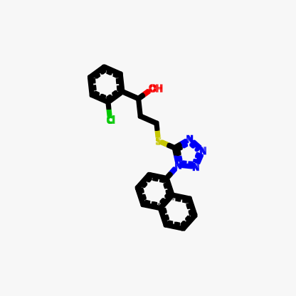 OC(CCSc1nnnn1-c1cccc2ccccc12)c1ccccc1Cl